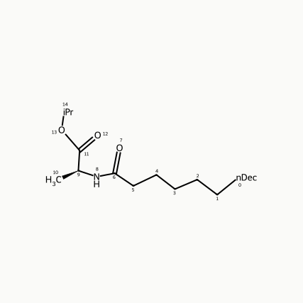 CCCCCCCCCCCCCCCC(=O)N[C@@H](C)C(=O)OC(C)C